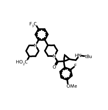 COc1ccc(C2(C(=O)N3CCC(c4ccc(C(F)(F)F)cc4N4CCC(C(=O)O)CC4)CC3)CC2CNC(C)(C)C)c(F)c1